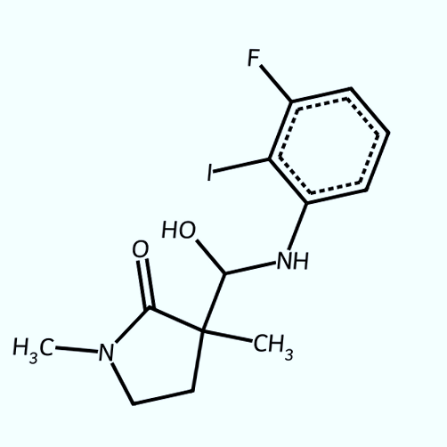 CN1CCC(C)(C(O)Nc2cccc(F)c2I)C1=O